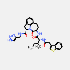 CC[C@H](C)[C@H](NC(=O)Cc1csc2ccccc12)C(=O)NC1CCc2cccc3c2N(C1=O)[C@H](C(=O)NCc1c[nH]nn1)C3